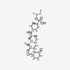 CCC(C)OP(=O)(O)c1ccc(NC2=NC3C(C=N2)C=C(c2c(Cl)cccc2Cl)C(=O)N3C)cn1